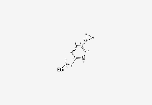 CCNCc1ccc(C2CC2)cn1